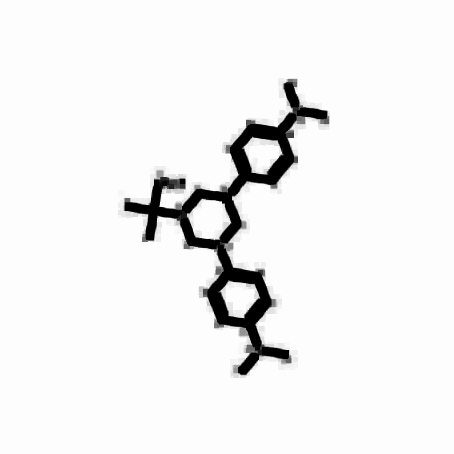 CCCCCC(C)(C)N1CN(c2ccc(N(C)C)cc2)CN(c2ccc(N(C)C)cc2)C1